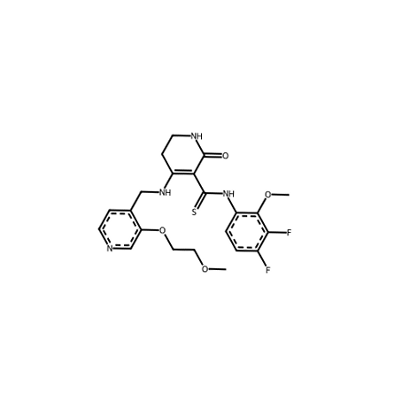 COCCOc1cnccc1CNC1=C(C(=S)Nc2ccc(F)c(F)c2OC)C(=O)NCC1